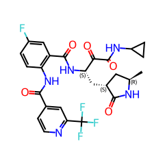 C[C@@H]1C[C@@H](C[C@H](NC(=O)c2cc(F)ccc2NC(=O)c2ccnc(C(F)(F)F)c2)C(=O)C(=O)NC2CC2)C(=O)N1